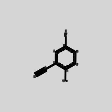 C#Cc1cc(F)ccc1[CH2]